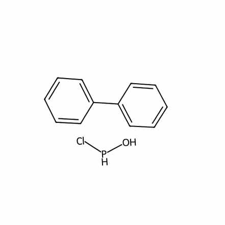 OPCl.c1ccc(-c2ccccc2)cc1